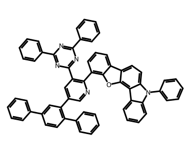 c1ccc(-c2ccc(-c3ccccc3)c(-c3cnc(-c4cccc5c4oc4c5ccc5c4c4ccccc4n5-c4ccccc4)c(-c4nc(-c5ccccc5)nc(-c5ccccc5)n4)c3)c2)cc1